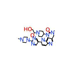 CN1CCN(c2ncc(-c3ccc4ncc5c(c4n3)N(C3CCN(C(=O)CO)CC3)C(=O)N(C)C5)cn2)CC1